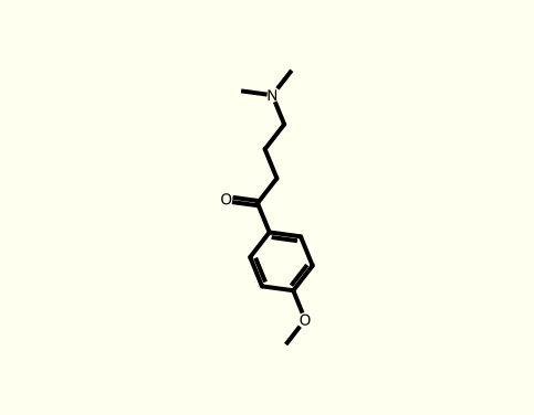 COc1ccc(C(=O)CCCN(C)C)cc1